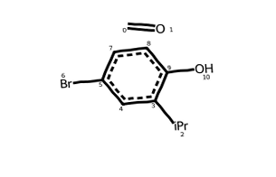 C=O.CC(C)c1cc(Br)ccc1O